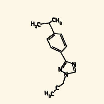 CCCn1cnc(-c2ccc(C(C)C)cc2)n1